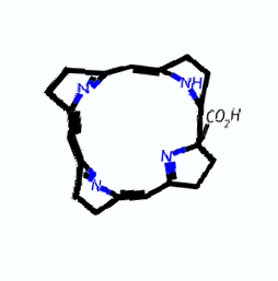 O=C(O)C12CCC(=N1)C=C1CCC(=N1)C=C1CCC(=N1)C=C1CCC2N1